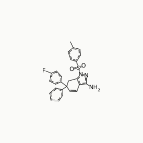 Cc1ccc(S(=O)(=O)n2nc(N)c3c2CC(c2ccccc2)(c2ccc(F)cc2)C=C3)cc1